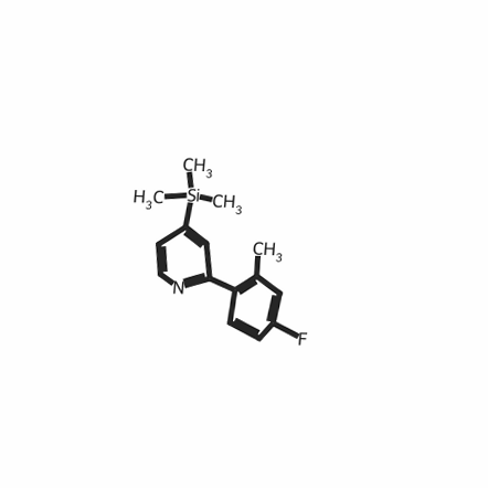 Cc1cc(F)ccc1-c1cc([Si](C)(C)C)ccn1